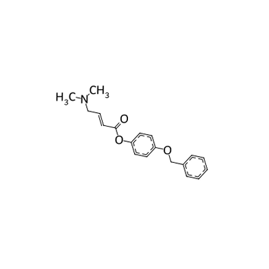 CN(C)CC=CC(=O)Oc1ccc(OCc2ccccc2)cc1